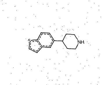 c1cc2cc(C3CCNCC3)ccc2s1